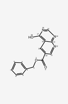 O=C(OCc1ccccc1)c1cnc2ncnc(O)c2c1